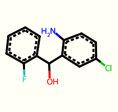 Nc1ccc(Cl)cc1C(O)c1ccccc1F